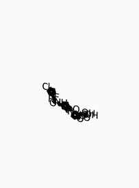 O=C1CCC(N2Cc3ccc(CNC(=O)C(F)(F)c4ccc(Cl)cc4)cc3C2)C(=O)N1COP(=O)(O)O